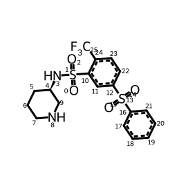 O=S(=O)(N[C@@H]1CCCNC1)c1cc(S(=O)(=O)c2ccccc2)ccc1C(F)(F)F